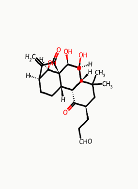 C=C1C(=O)[C@]23[C@H](O)[C@H]1CC[C@H]2[C@@]12CO[C@]3(O)[C@@H](O)[C@@H]1C(C)(C)C[C@@H](CCC=O)C2=O